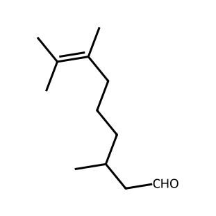 CC(C)=C(C)CCCC(C)CC=O